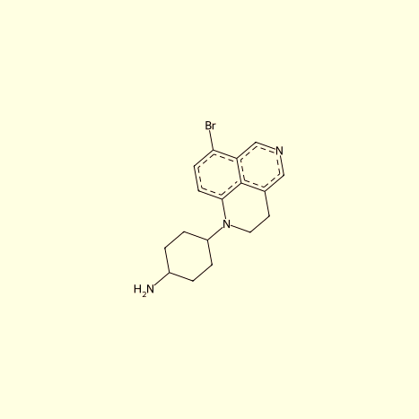 NC1CCC(N2CCc3cncc4c(Br)ccc2c34)CC1